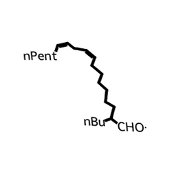 CCCCC/C=C\C/C=C\CCCCCCC([C]=O)CCCC